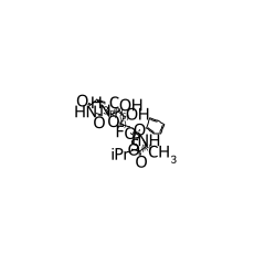 CC(C)OC(=O)[C@@H](C)NP(=S)(OC[C@@]1(F)O[C@@H](n2ccc(=O)[nH]c2=O)[C@](C)(O)[C@@H]1O)Oc1ccccc1